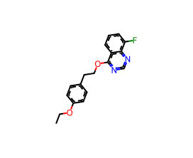 CCOc1ccc(CCOc2ncnc3c(F)cccc23)cc1